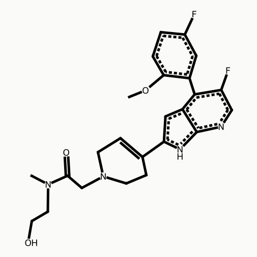 COc1ccc(F)cc1-c1c(F)cnc2[nH]c(C3=CCN(CC(=O)N(C)CCO)CC3)cc12